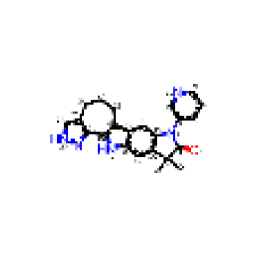 CC1(C)C(=O)N(c2cccnc2)c2cc3c4c([nH]c3cc21)-c1n[nH]cc1CCC4